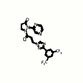 O=C(C=Cn1cnc(-c2cc(C(F)(F)F)cc(C(F)(F)F)c2)n1)N1CCC(=O)N1c1cnccn1